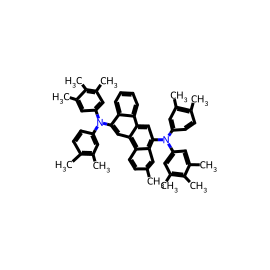 Cc1ccc2c(c1)c(N(c1ccc(C)c(C)c1)c1cc(C)c(C)c(C)c1)cc1c3ccccc3c(N(c3ccc(C)c(C)c3)c3cc(C)c(C)c(C)c3)cc21